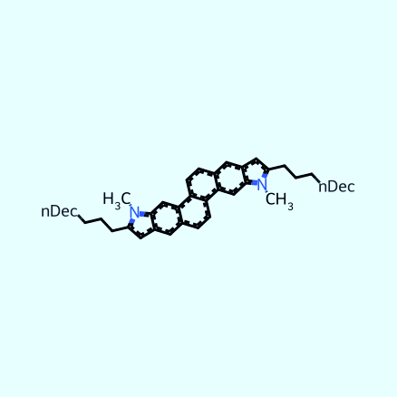 CCCCCCCCCCCCCc1cc2cc3ccc4c5cc6c(cc(CCCCCCCCCCCCC)n6C)cc5ccc4c3cc2n1C